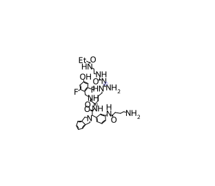 CCC(=O)NCCNC(=O)/N=C(/N)NCCC[C@@H](NC(=O)C(c1cccc(NC(=O)CCCN)c1)N1Cc2ccccc2C1)C(=O)NCc1c(F)cc(O)cc1F